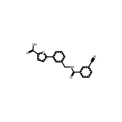 N#Cc1cccc(C(=O)NCc2cccc(-c3ccc(C(=O)O)o3)c2)c1